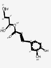 O=C(C=Cc1ccc(O)c(O)c1)OC(O)CCO